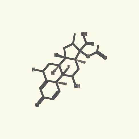 CC(=O)OC1(C(O)=S)C(C)C[C@H]2[C@@H]3CC(F)C4=CC(=O)C=C[C@]4(C)C3(F)C(O)C[C@@]21C